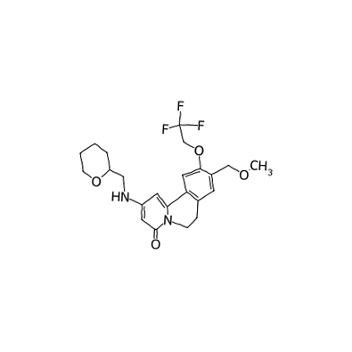 COCc1cc2c(cc1OCC(F)(F)F)-c1cc(NCC3CCCCO3)cc(=O)n1CC2